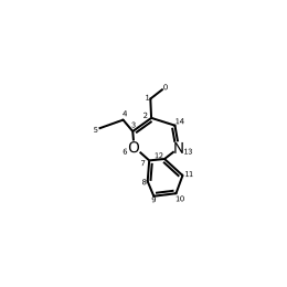 CCC1=C(CC)Oc2ccccc2N=C1